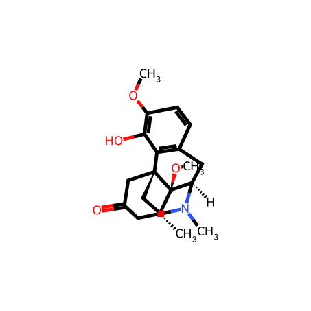 COc1ccc2c(c1O)[C@]13CCN(C)[C@H](C2)[C@]1(OC)[C@H](C)CC(=O)C3